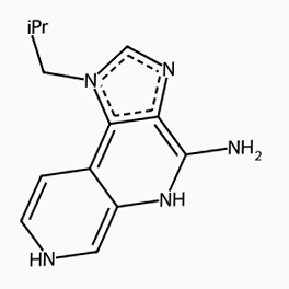 CC(C)Cn1cnc2c1=C1C=CNC=C1NC=2N